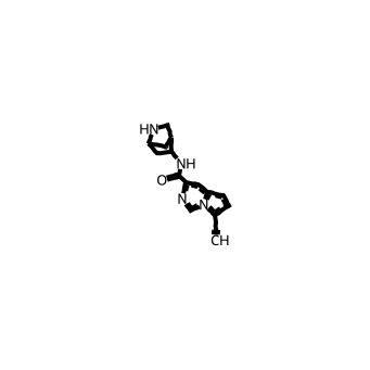 C#Cc1ccc2cc(C(=O)NC3CC4CC3CN4)ncn12